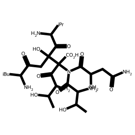 CCC(C)C(N)C(=O)CC(O)(C(=O)C(N)C(C)C)C(C(=O)O)(C(=O)C(N)C(C)O)N(C(=O)C(N)CC(N)=O)C(=O)C(N)C(C)O